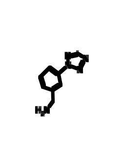 NCc1cccc(-n2n[c]nn2)c1